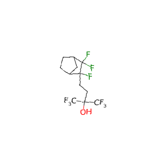 OC(CCC1(F)C2CCC(C2)C1(F)F)(C(F)(F)F)C(F)(F)F